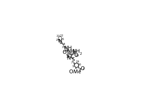 COC(=O)c1ccc(CSc2nsc(NC(=O)NCCCN3CCCC3)c2C(N)=O)cc1